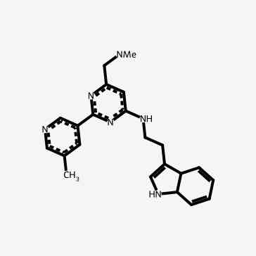 CNCc1cc(NCCC2=CNC3C=CC=CC23)nc(-c2cncc(C)c2)n1